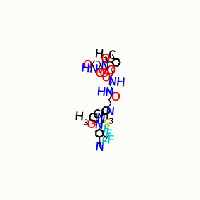 Cc1cccc(OCC(=O)NCCNC(=O)CCc2ccc(N3C(=S)N(c4ccc(C#N)c(C(F)(F)F)c4F)C(=O)C3(C)C)cn2)c1C(=O)N(C=O)C1CCC(=O)NC1=O